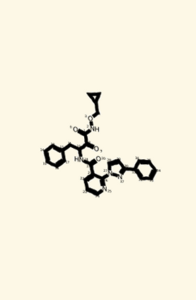 O=C(NOCC1CC1)C(=O)C(Cc1ccccc1)NC(=O)c1cccnc1-n1ccc(-c2ccccc2)n1